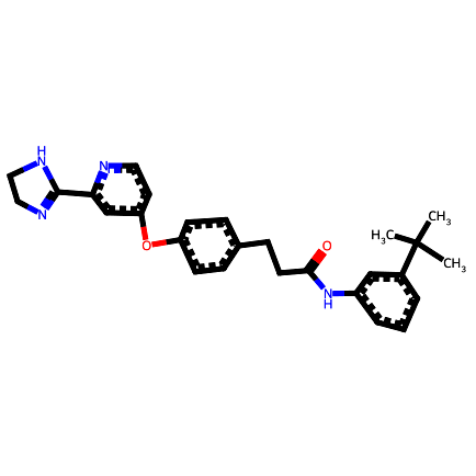 CC(C)(C)c1cccc(NC(=O)CCc2ccc(Oc3ccnc(C4=NCCN4)c3)cc2)c1